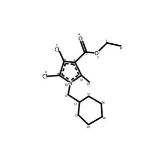 CCOC(=O)c1c(Cl)c(Cl)n(CC2CCCCC2)c1C